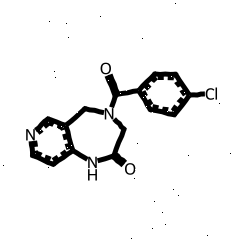 O=C1CN(C(=O)c2ccc(Cl)cc2)Cc2cnccc2N1